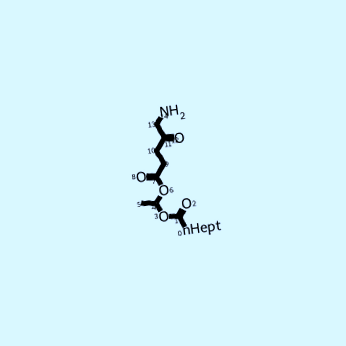 CCCCCCCC(=O)OC(C)OC(=O)CCC(=O)CN